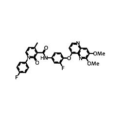 COc1cc2nccc(Oc3ccc(NC(=O)c4c(C)ccn(-c5ccc(F)cc5)c4=O)cc3F)c2nc1OC